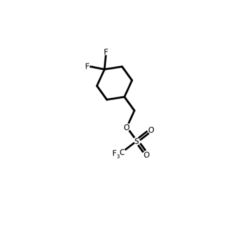 O=S(=O)(OCC1CCC(F)(F)CC1)C(F)(F)F